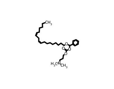 CCCCC/C=C\C/C=C\CCCCCCCCOC(OC(=O)OCCCN(C)C)c1ccccc1